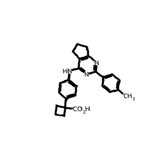 Cc1ccc(-c2nc3c(c(Nc4ccc(C5(C(=O)O)CCC5)cc4)n2)CCC3)cc1